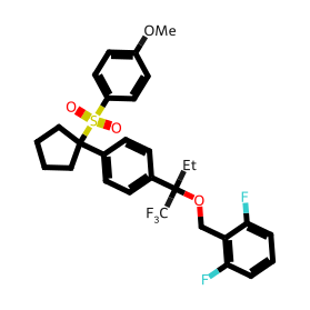 CCC(OCc1c(F)cccc1F)(c1ccc(C2(S(=O)(=O)c3ccc(OC)cc3)CCCC2)cc1)C(F)(F)F